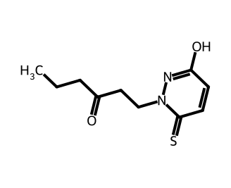 CCCC(=O)CCn1nc(O)ccc1=S